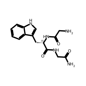 NCC(=O)N[C@@H](Cc1c[nH]c2ccccc12)C(=O)NCC(N)=O